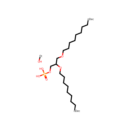 CCCCCCCCCCCCCCCCCCOCC(COP(=O)(O)O)OCCCCCCCCCCCCCCCCCC.CCO